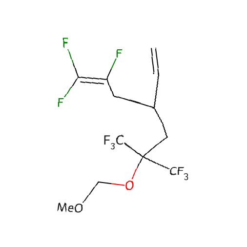 C=CC(CC(F)=C(F)F)CC(OCOC)(C(F)(F)F)C(F)(F)F